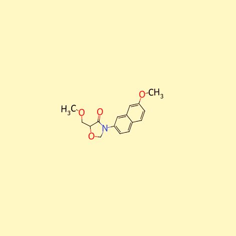 COCC1OCN(c2ccc3ccc(OC)cc3c2)C1=O